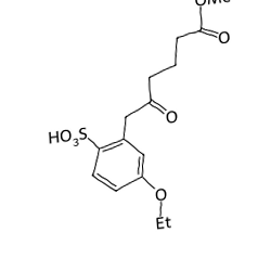 CCOc1ccc(S(=O)(=O)O)c(CC(=O)CCCC(=O)OC)c1